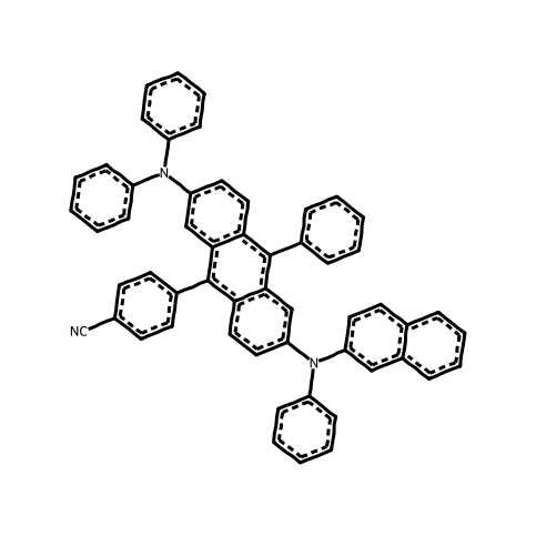 N#Cc1ccc(-c2c3ccc(N(c4ccccc4)c4ccc5ccccc5c4)cc3c(-c3ccccc3)c3ccc(N(c4ccccc4)c4ccccc4)cc23)cc1